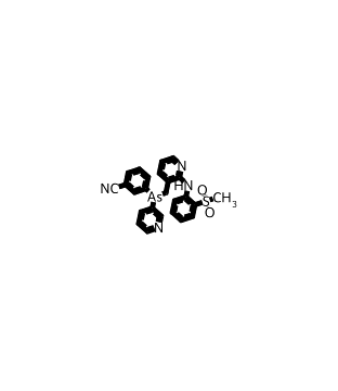 CS(=O)(=O)c1ccccc1Nc1ncccc1C[As](c1cccnc1)c1cccc(C#N)c1